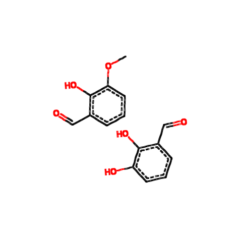 COc1cccc(C=O)c1O.O=Cc1cccc(O)c1O